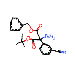 CC(C)(C)OC(=O)C(N)(C(=O)OCc1ccccc1)c1cccc(C#N)c1